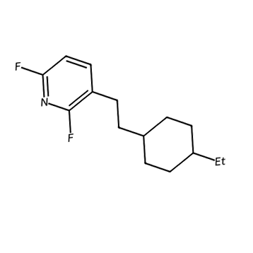 CCC1CCC(CCc2ccc(F)nc2F)CC1